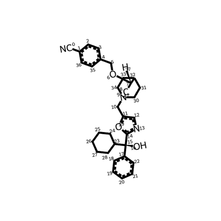 N#Cc1ccc(CO[C@H]2C[N+]3(Cc4cnc([C@](O)(c5ccccc5)C5CCCCC5)o4)CCC2CC3)cc1